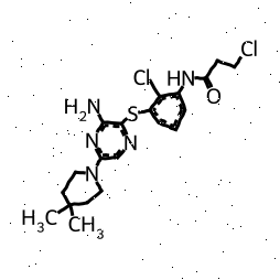 CC1(C)CCN(c2cnc(Sc3cccc(NC(=O)CCCl)c3Cl)c(N)n2)CC1